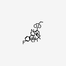 CCC1COC(c2cnn3c(NC(C)C(C)(C)C)c(-c4ccc(F)cc4Cl)cnc23)O1